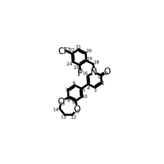 O=c1ccc(-c2ccc3c(c2)OCCCO3)cn1Cc1ccc(Cl)cc1F